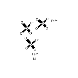 O=S(=O)([O-])[O-].O=S(=O)([O-])[O-].O=S(=O)([O-])[O-].[Fe+3].[Fe+3].[Ni]